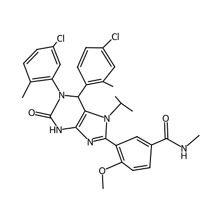 CNC(=O)c1ccc(OC)c(-c2nc3c(n2C(C)C)C(c2ccc(Cl)cc2C)N(c2cc(Cl)ccc2C)C(=O)N3)c1